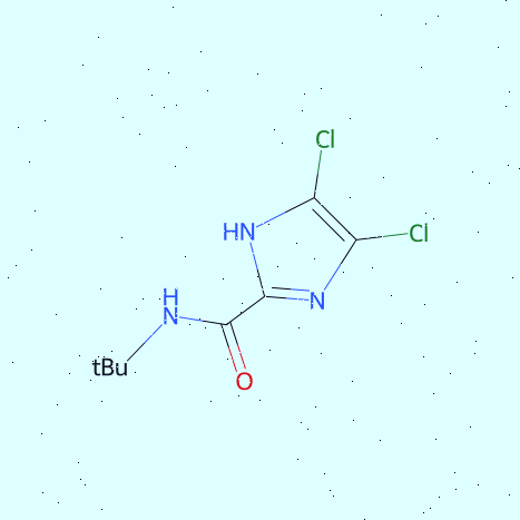 CC(C)(C)NC(=O)c1nc(Cl)c(Cl)[nH]1